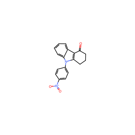 O=C1CCCc2c1c1ccccc1n2-c1ccc([N+](=O)[O-])cc1